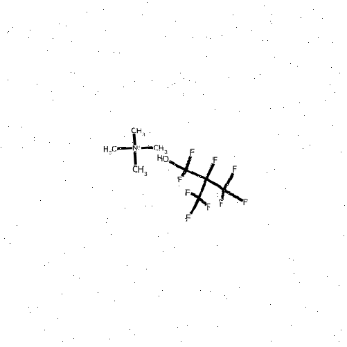 C[N+](C)(C)C.OC(F)(F)C(F)(C(F)(F)F)C(F)(F)F